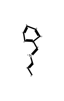 CC=CN=Cc1ccccc1